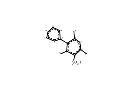 Cc1cc(C)c(S(=O)(=O)O)c(C)c1-c1ccccc1